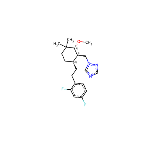 CO[C@@H]1[C@@H](Cn2cncn2)[C@@H](CCc2ccc(F)cc2F)CCC1(C)C